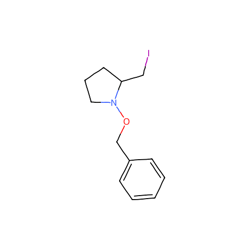 ICC1CCCN1OCc1ccccc1